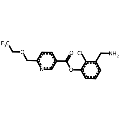 NCc1cccc(OC(=O)c2ccc(COCC(F)(F)F)nc2)c1Cl